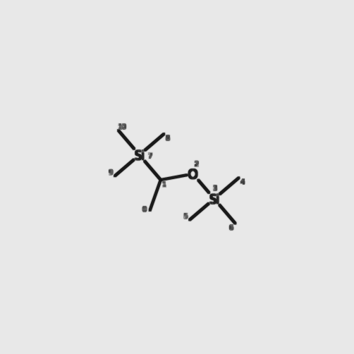 CC(O[Si](C)(C)C)[Si](C)(C)C